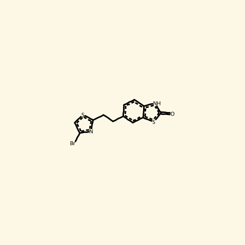 O=c1[nH]c2ccc(CCc3nc(Br)cs3)cc2s1